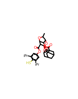 CC(C)c1cc(OC(=O)C2C(=O)OC3C(C)OC2C3OC(=O)C23CC4CC(C2)C(=O)C(C4)C3)cc(C(C)C)c1S